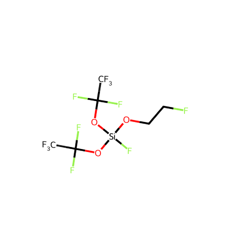 FCCO[Si](F)(OC(F)(F)C(F)(F)F)OC(F)(F)C(F)(F)F